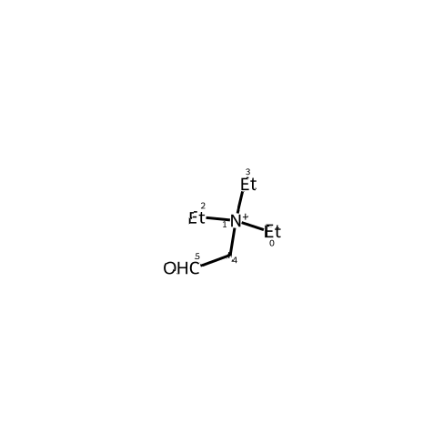 CC[N+](CC)(CC)CC=O